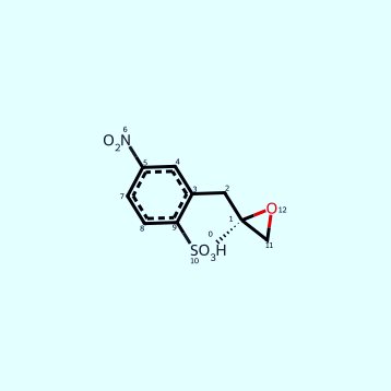 C[C@@]1(Cc2cc([N+](=O)[O-])ccc2S(=O)(=O)O)CO1